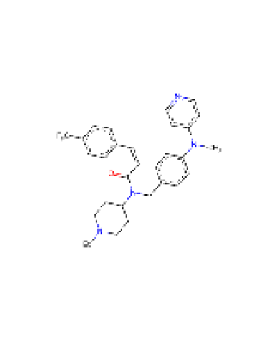 CCN1CCC(N(Cc2ccc(N(C)c3ccncc3)cc2)C(=O)C=Cc2ccc(C(F)(F)F)cc2)CC1